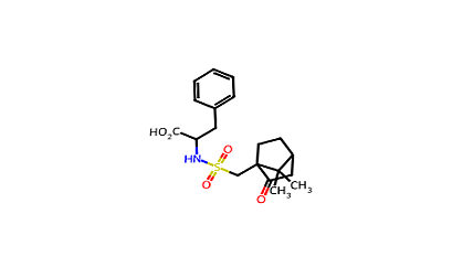 CC1(C)C2CCC1(CS(=O)(=O)NC(Cc1ccccc1)C(=O)O)C(=O)C2